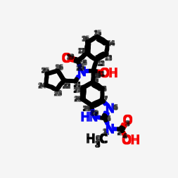 CN(C(=O)O)c1nc2cc(C3(O)c4ccccc4C(=O)N3CC3CCCC3)ccc2[nH]1